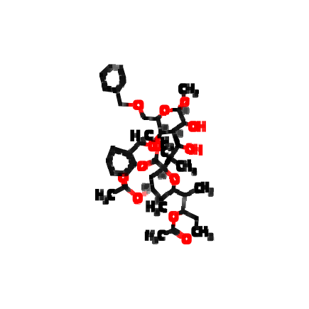 CCC(OC(C)=O)C(C)C1O[C@](C(=O)OC)(C(C)(C)C(O)[C@@H]2C(O)[C@H](OC)OC(COCc3ccccc3)[C@@H]2OCc2ccccc2)C[C@@H](OC(C)=O)[C@H]1C